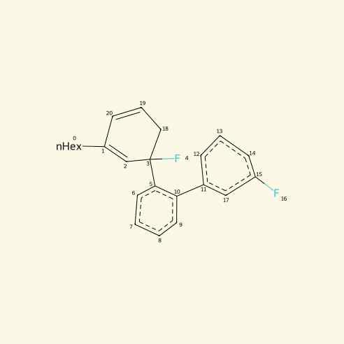 CCCCCCC1=CC(F)(c2ccccc2-c2cccc(F)c2)CC=C1